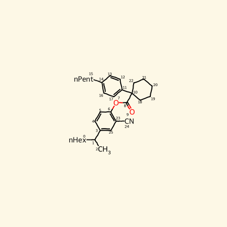 CCCCCCC(C)c1ccc(OC(=O)C2(c3ccc(CCCCC)cc3)CCCCC2)c(C#N)c1